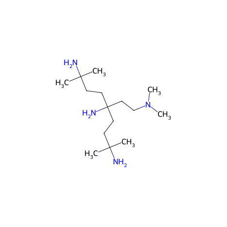 CN(C)CCC(N)(CCC(C)(C)N)CCC(C)(C)N